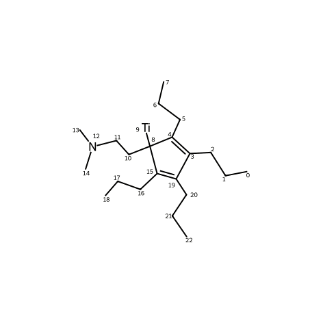 CCCC1=C(CCC)[C]([Ti])(CCN(C)C)C(CCC)=C1CCC